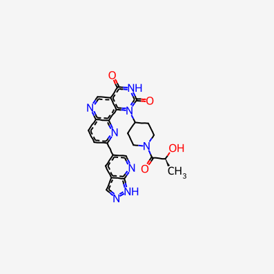 C[C@H](O)C(=O)N1CCC(n2c(=O)[nH]c(=O)c3cnc4ccc(-c5cnc6[nH]ncc6c5)nc4c32)CC1